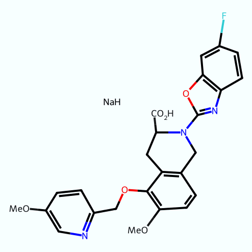 COc1ccc(COc2c(OC)ccc3c2CC(C(=O)O)N(c2nc4ccc(F)cc4o2)C3)nc1.[NaH]